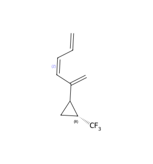 C=C/C=C\C(=C)C1C[C@H]1C(F)(F)F